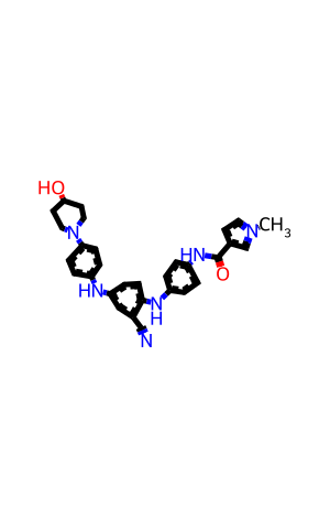 Cn1ccc(C(=O)Nc2ccc(Nc3ccc(Nc4ccc(N5CCC(O)CC5)cc4)cc3C#N)cc2)c1